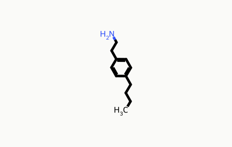 CCCCc1ccc(CCN)cc1